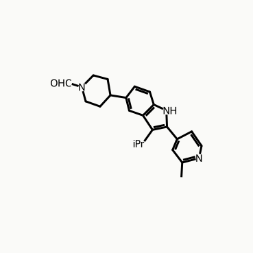 Cc1cc(-c2[nH]c3ccc(C4CCN(C=O)CC4)cc3c2C(C)C)ccn1